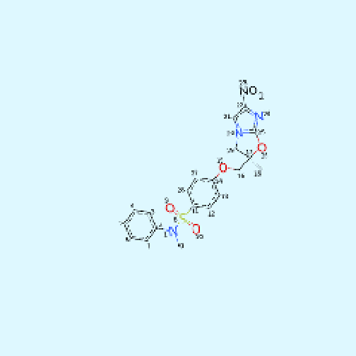 CN(c1ccccc1)S(=O)(=O)c1ccc(OC[C@@]2(C)Cn3cc([N+](=O)[O-])nc3O2)cc1